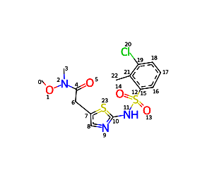 CON(C)C(=O)Cc1cnc(NS(=O)(=O)c2cccc(Cl)c2C)s1